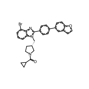 O=C(C1CC1)N1CC[C@H](Cn2c(-c3ccc(-c4ccc5occc5c4)cc3)nc3c(Br)cccc32)C1